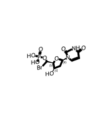 O=c1ccn([C@H]2C[C@H](O)[C@@H](C(Br)OP(=O)(O)O)O2)c(=O)[nH]1